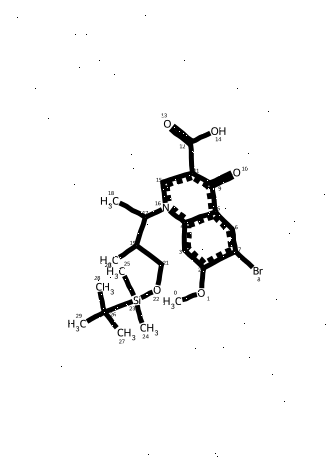 COc1cc2c(cc1Br)c(=O)c(C(=O)O)cn2C(C)C(C)CO[Si](C)(C)C(C)(C)C